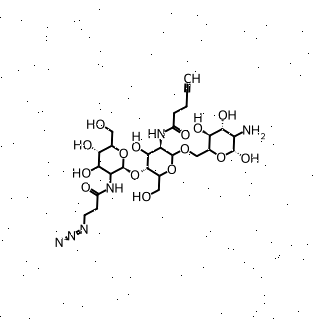 C#CCCC(=O)N[C@H]1C(OCC2O[C@@H](O)C(N)[C@@H](O)[C@@H]2O)OC(CO)[C@H](O[C@@H]2OC(CO)[C@@H](O)C(O)C2NC(=O)CCN=[N+]=[N-])C1O